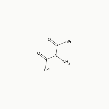 CCCC(=O)N(N)C(=O)CCC